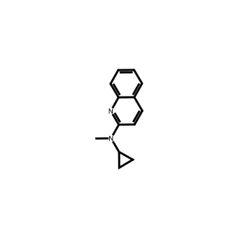 CN(c1ccc2ccccc2n1)C1CC1